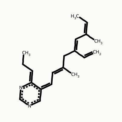 C=C/C(=C\C(C)=C/C)C/C(C)=C/C=c1/cncn/c1=C\CC